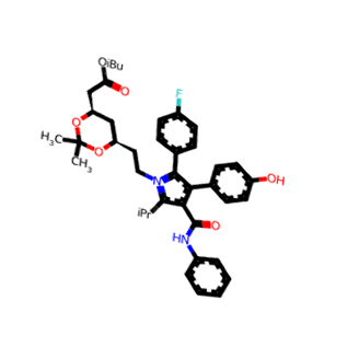 CC(C)COC(=O)C[C@H]1C[C@@H](CCn2c(-c3ccc(F)cc3)c(-c3ccc(O)cc3)c(C(=O)Nc3ccccc3)c2C(C)C)OC(C)(C)O1